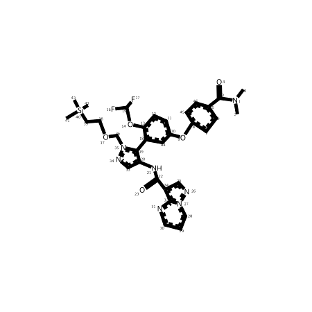 CN(C)C(=O)c1ccc(Oc2ccc(OC(F)F)c(-c3c(NC(=O)c4cnn5cccnc45)cnn3COCC[Si](C)(C)C)c2)cc1